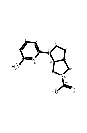 Nc1cccc(N2CCC3CN(C(=O)O)CC32)n1